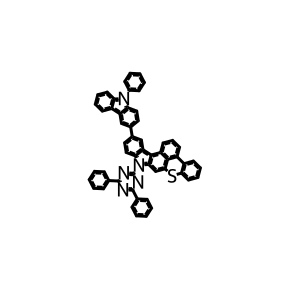 c1ccc(-c2nc(-c3ccccc3)nc(-n3c4ccc(-c5ccc6c(c5)c5ccccc5n6-c5ccccc5)cc4c4c5cccc6c5c(cc43)Sc3ccccc3-6)n2)cc1